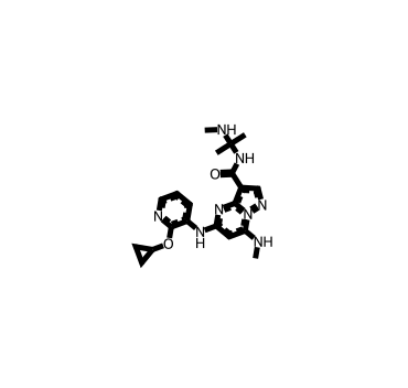 CNc1cc(Nc2cccnc2OC2CC2)nc2c(C(=O)NC(C)(C)NC)cnn12